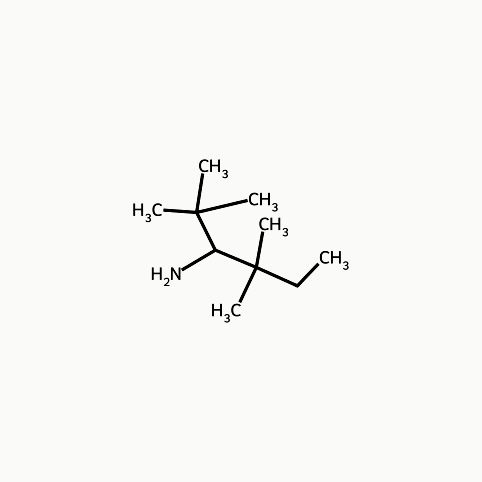 CCC(C)(C)C(N)C(C)(C)C